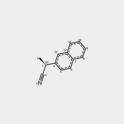 C[C@H](C#N)c1ccc2ccccc2c1